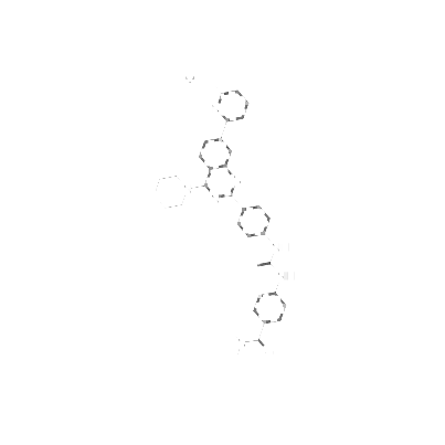 COc1cccc(-c2ccc3c(N4CCOCC4)nc(-c4ccc(NC(=O)Nc5ccc(C(=O)N(C)C)cc5)cc4)nc3c2)n1